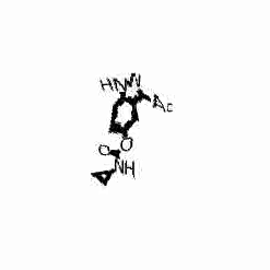 CC(=O)c1n[nH]c2ccc(OC(=O)NC3CC3)cc12